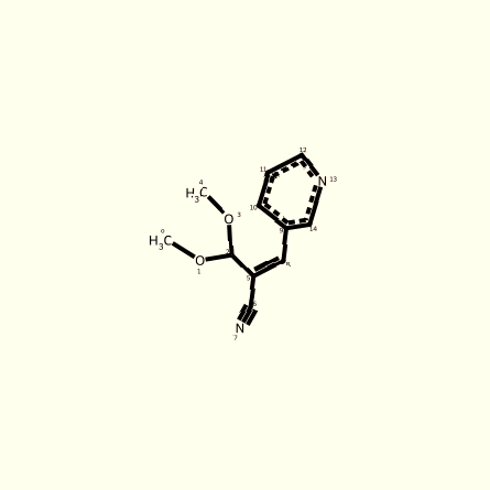 COC(OC)C(C#N)=Cc1cccnc1